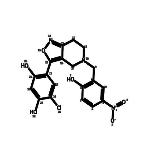 O=[N+]([O-])c1ccc(O)c(CN2CCc3noc(-c4cc(Cl)c(O)cc4O)c3C2)c1